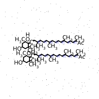 CC(=O)/C(C)=C/C=C/C(C)=C/C=C/C=C(C)/C=C/C=C(\C)C=C=C1C(C)(C)CC(O)CC1(C)O.CC(=O)/C(C)=C/C=C/C(C)=C/C=C/C=C(C)/C=C/C=C(\C)C=C=C1C(C)(C)CC(O)CC1(C)O